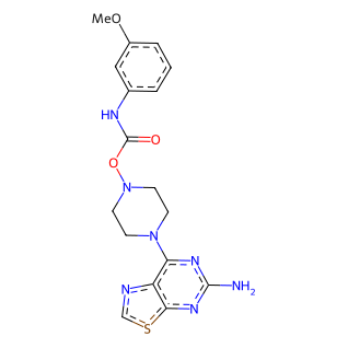 COc1cccc(NC(=O)ON2CCN(c3nc(N)nc4scnc34)CC2)c1